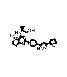 [O-][S+]1CCc2nc(N3CCC(c4cc(-c5ccco5)n[nH]4)CC3)nc(NC3(CO)CC3)c21